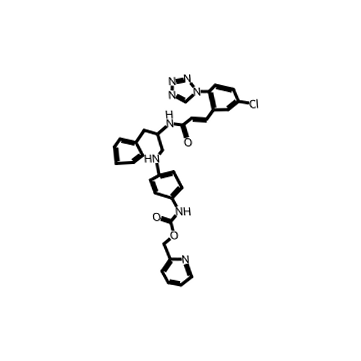 O=C(C=Cc1cc(Cl)ccc1-n1cnnn1)NC(CNc1ccc(NC(=O)OCc2ccccn2)cc1)Cc1ccccc1